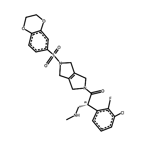 CNC[C@H](C(=O)N1CC2=C(C1)CN(S(=O)(=O)c1ccc3c(c1)OCCO3)C2)c1cccc(Cl)c1F